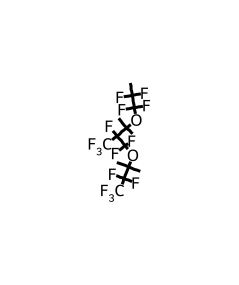 CC(F)(F)C(F)(F)OC(C)(C)C(F)(C(F)(F)F)C(F)(F)OC(C)(C)C(F)(F)C(F)(F)F